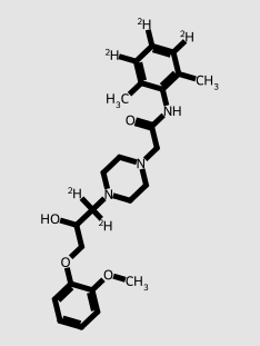 [2H]c1c([2H])c(C)c(NC(=O)CN2CCN(C([2H])([2H])C(O)COc3ccccc3OC)CC2)c(C)c1[2H]